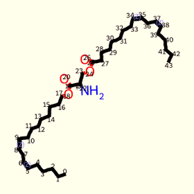 CCCCC/C=C\C/C=C\CCCCCCCCOC(=O)[C@@H](N)COC(=O)CCCCCCC/C=C\C/C=C\CCCCC